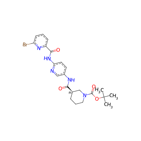 CC(C)(C)OC(=O)N1CCC[C@@H](C(=O)Nc2ccc(NC(=O)c3cccc(Br)n3)nc2)C1